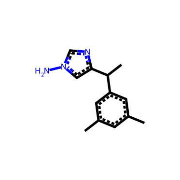 Cc1cc(C)cc(C(C)c2cn(N)cn2)c1